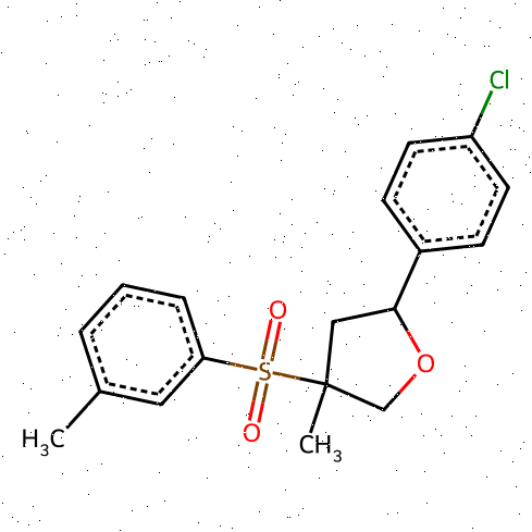 Cc1cccc(S(=O)(=O)C2(C)COC(c3ccc(Cl)cc3)C2)c1